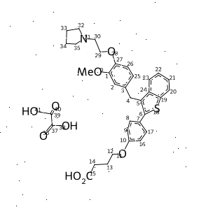 COc1cc(Cc2c(-c3ccc(OCCCC(=O)O)cc3)sc3ccccc23)ccc1OCCN1CCCC1.O=C(O)C(=O)O